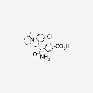 CC(c1cc(Cl)ccc1N1CCCCC1C)C(C(N)=O)c1ccc(C(=O)O)cc1